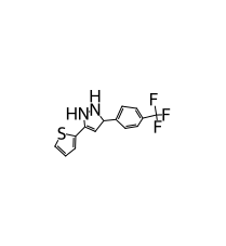 FC(F)(F)c1ccc(C2C=C(c3cccs3)NN2)cc1